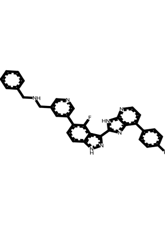 Fc1ccc(-c2ccnc3[nH]c(-c4n[nH]c5ccc(-c6cncc(CNCc7ccccc7)c6)c(F)c45)nc23)cc1